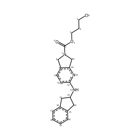 O=C(OCCCCl)N1Cc2cnc(NC3Cc4ccccc4C3)nc2C1